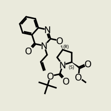 C=CCn1c(O[C@@H]2C[C@@H](C(=O)OC)N(C(=O)OC(C)(C)C)C2)nc2ccccc2c1=O